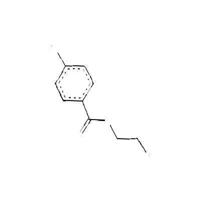 CC(C)CCOC(=O)c1ccc(C(C)C)cc1